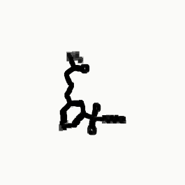 CNS(=O)(=O)c1cncc(CCCC(N)=O)c1